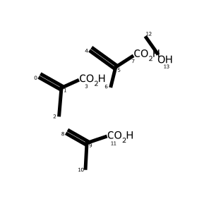 C=C(C)C(=O)O.C=C(C)C(=O)O.C=C(C)C(=O)O.CO